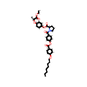 CCCCCCCCOc1ccc(C(=O)Oc2ccc(C(=O)N3CCCC3C(=O)Oc3ccc(O[C@@H](C)C(=O)OCC)cc3)cc2)cc1